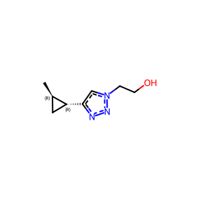 C[C@@H]1C[C@H]1c1cn(CCO)nn1